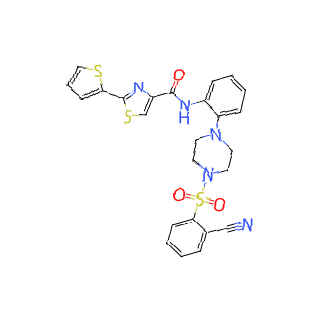 N#Cc1ccccc1S(=O)(=O)N1CCN(c2ccccc2NC(=O)c2csc(-c3cccs3)n2)CC1